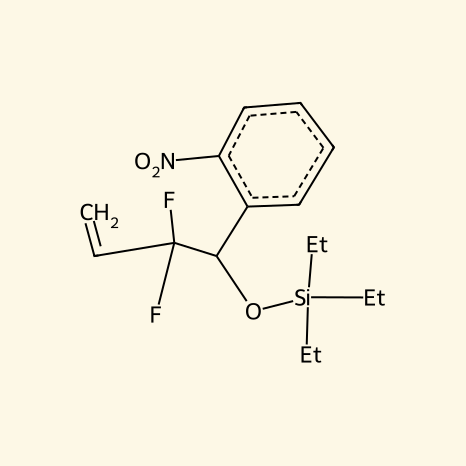 C=CC(F)(F)C(O[Si](CC)(CC)CC)c1ccccc1[N+](=O)[O-]